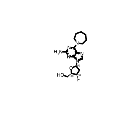 Nc1nc(N2CCCCCC2)c2ncn([C@H]3C[C@H](F)[C@@H](CO)O3)c2n1